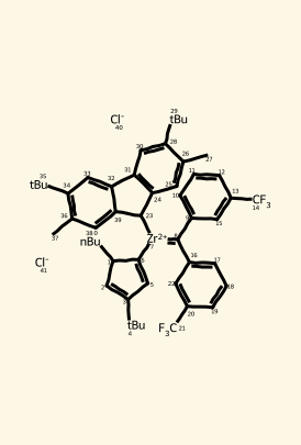 CCCCC1C=C(C(C)(C)C)C=[C]1[Zr+2](=[C](c1cccc(C(F)(F)F)c1)c1cccc(C(F)(F)F)c1)[CH]1c2cc(C)c(C(C)(C)C)cc2-c2cc(C(C)(C)C)c(C)cc21.[Cl-].[Cl-]